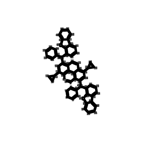 C=Cc1c(N(c2ccccc2)c2cccc3c2oc2ccccc23)cc(C2CC2)c2ccc3c(N(c4ccccc4)c4cccc5c4oc4ccccc45)cc(C4CC4)c(C)c3c12